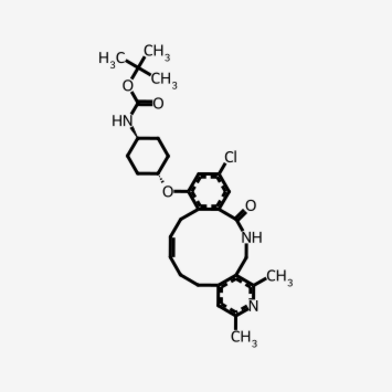 Cc1cc2c(c(C)n1)CNC(=O)c1cc(Cl)cc(O[C@H]3CC[C@H](NC(=O)OC(C)(C)C)CC3)c1C/C=C\CC2